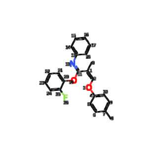 CC(=COc1ccc(C)cc1)C(=Nc1ccccc1)Oc1ccccc1F